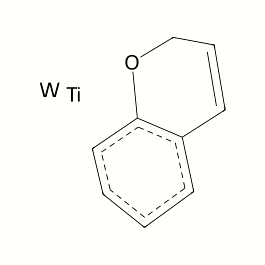 C1=Cc2ccccc2OC1.[Ti].[W]